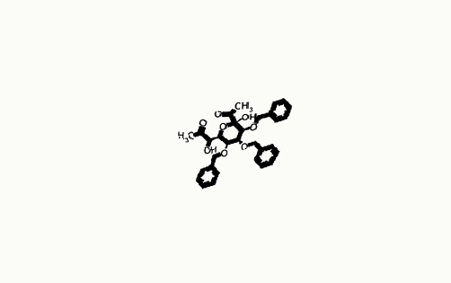 CC(=O)C(O)[C@H]1O[C@@](O)(C(C)=O)[C@@H](OCc2ccccc2)[C@@H](OCc2ccccc2)[C@@H]1OCc1ccccc1